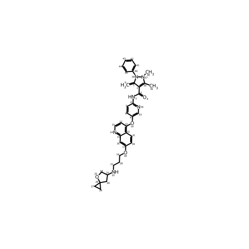 C=C1C(C(=O)Nc2ccc(Oc3ccnc4cc(OCCCNC5COC6(CC6)C5)ccc34)cn2)=C(C)N(C)N1c1ccccc1